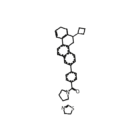 C1=NCCS1.O=C(c1ccc(-c2ccc3c4c(ccc3c2)C2=C(CCC=C2)C(C2CCC2)C4)cc1)N1CCCC1